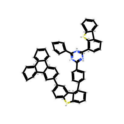 c1ccc(-c2nc(-c3ccc(-c4cccc5sc6ccc(-c7ccc8c9ccccc9c9ccccc9c8c7)cc6c45)cc3)nc(-c3cccc4c3sc3ccccc34)n2)cc1